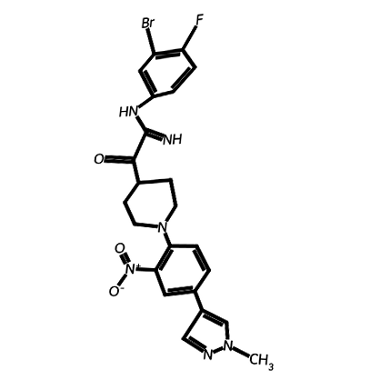 Cn1cc(-c2ccc(N3CCC(C(=O)C(=N)Nc4ccc(F)c(Br)c4)CC3)c([N+](=O)[O-])c2)cn1